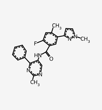 Cc1ncc(NC(=O)c2cc(-c3ccn(C)n3)c(C)cc2F)c(-c2ccccc2)n1